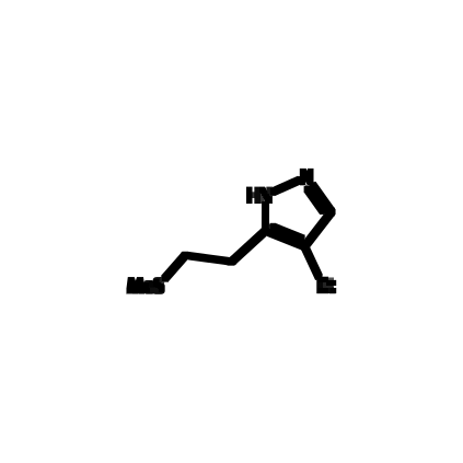 CCc1cn[nH]c1CCSC